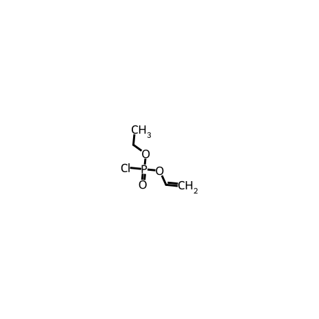 C=COP(=O)(Cl)OCC